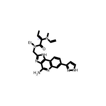 C=CN(C)/C(=C\C)C(=O)N(CC)Cc1nc2c(N)nc3cc(-c4cc[nH]n4)ccc3c2[nH]1